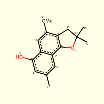 COc1cc2c(O)cc(C)cc2c2c1CC(C)(C)O2